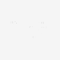 NC1CCC(CC(O)(P(=O)(O)O)P(=O)(O)O)CC1